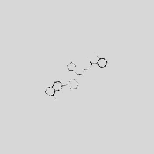 Nc1ncnc2ccc(N3CCC[C@@H](C(CCNC(=O)c4ccccc4O)N4CCCC4)C3)nc12